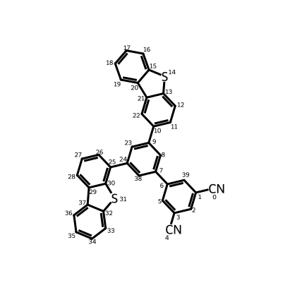 N#Cc1cc(C#N)cc(-c2cc(-c3ccc4sc5ccccc5c4c3)cc(-c3cccc4c3sc3ccccc34)c2)c1